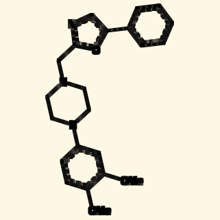 COc1ccc(N2CCN(Cc3ncc(-c4ccccc4)o3)CC2)cc1OC